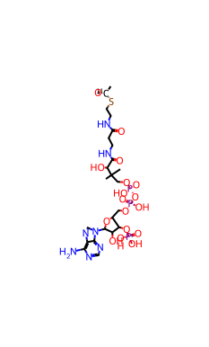 C[11C](=O)SCCNC(=O)CCNC(=O)C(O)C(C)(C)COP(=O)(O)OP(=O)(O)OCC1OC(n2cnc3c(N)ncnc32)C(O)C1OP(=O)(O)O